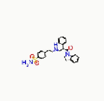 NS(=O)(=O)c1ccc(CCNCC(C(=O)N2CCc3ccccc32)c2ccccc2)cc1